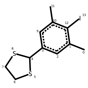 Cc1cc(C2SCCS2)cc(C)c1I